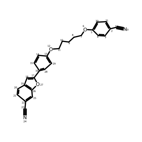 N#Cc1ccc(OCCCCCOc2ccc(-c3cc4ccc(C#N)cc4o3)cc2)cc1